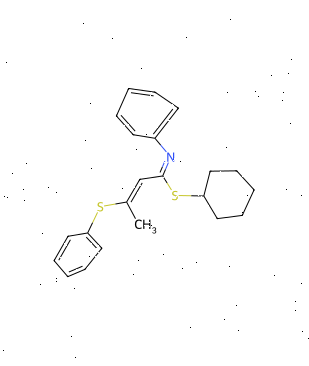 CC(=C/C(=N\c1ccccc1)SC1CCCCC1)Sc1ccccc1